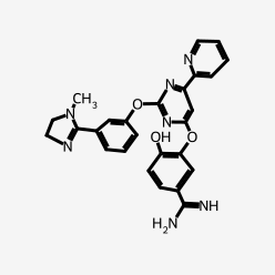 CN1CCN=C1c1cccc(Oc2nc(Oc3cc(C(=N)N)ccc3O)cc(-c3ccccn3)n2)c1